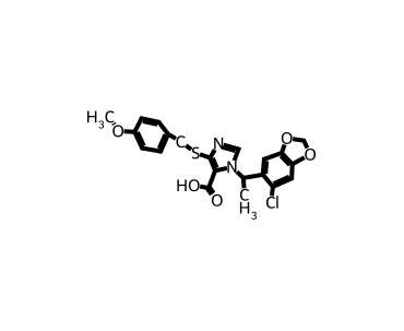 COc1ccc(CSc2ncn(C(C)c3cc4c(cc3Cl)OCO4)c2C(=O)O)cc1